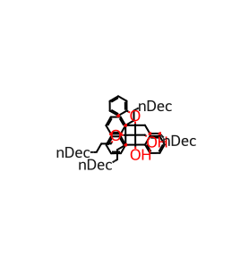 CCCCCCCCCCCCCOC(CCCCCCCCCCCCC)(CCCCCCCCCCCCC)C(CO)(C(CCCCCCCCCCCCC)(Oc1ccccc1)c1ccccc1)C(O)(c1ccccc1)c1ccccc1